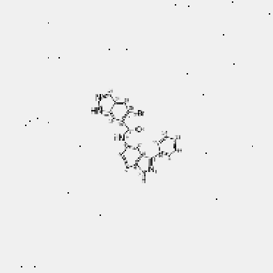 O=C(Nc1ccc2[nH]nc(-c3ccccc3)c2c1)c1cc2[nH]ncc2cc1Br